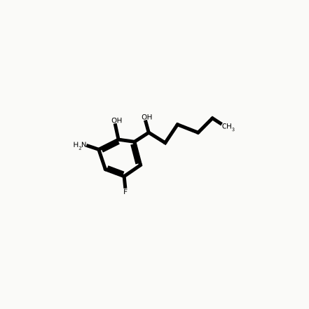 CCCCCC(O)c1cc(F)cc(N)c1O